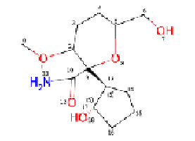 COC1CCC(CO)OC1(C(N)=O)[C@H]1CCC[C@@H]1O